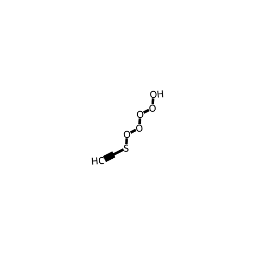 C#CSOOOOO